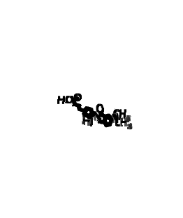 CN(C)c1ccc2c(c1)C(=O)N(c1ccc(CCCC(=O)O)cc1)C2.I